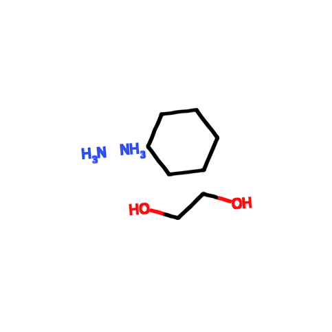 C1CCCCC1.N.N.OCCO